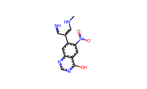 CN/C=C(\C=N)c1cc2ncnc(O)c2cc1[N+](=O)[O-]